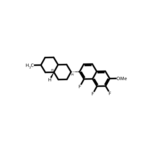 COc1cc2ccc([C@@H]3CC[C@@H]4CC(C)CCC4C3)c(F)c2c(F)c1F